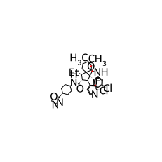 CCC1[C@@H](C(=O)N[C@H]2CC[C@H](c3nnco3)CC2)[C@H](c2ccnc(Cl)c2F)[C@]2(C(=O)Nc3cc(Cl)ccc32)C12CCC(C)(C)CC2